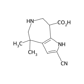 CC1(C)CNCC(C(=O)O)c2[nH]c(C#N)cc21